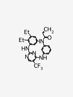 C=CC(=O)Nc1cccc(Nc2nc(Nc3cccc(CC)c3CC)ncc2C(F)(F)F)c1